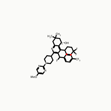 COc1cnc(N2CCC(c3nc4c(c(C5CCC(F)(F)CC5)c3C(F)c3ccc(C(F)(F)F)cc3)[C@@H](O)CC(C)(C)C4)CC2)nc1